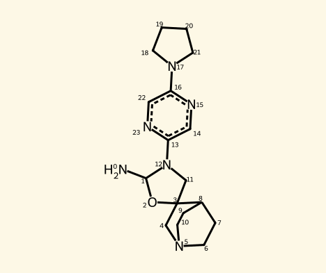 NC1OC2(CN3CCC2CC3)CN1c1cnc(N2CCCC2)cn1